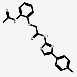 CC(=O)Nc1ccccc1OCC(=O)Nc1nc(-c2ccc(F)cc2)cs1